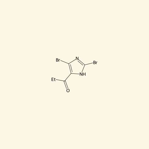 CCC(=O)c1[nH]c(Br)nc1Br